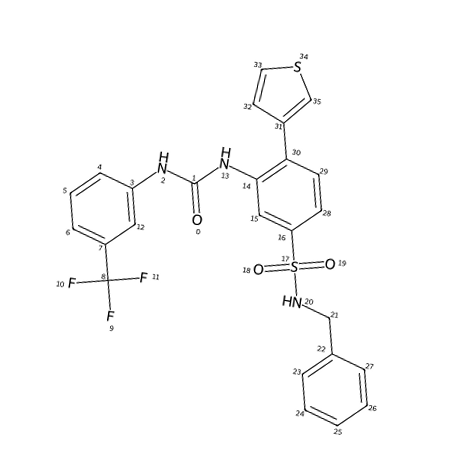 O=C(Nc1cccc(C(F)(F)F)c1)Nc1cc(S(=O)(=O)NCc2ccccc2)ccc1-c1ccsc1